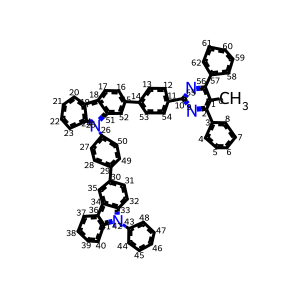 Cc1c(-c2ccccc2)nc(-c2ccc(-c3ccc4c5ccccc5n(-c5ccc(-c6ccc7c(c6)c6ccccc6n7-c6ccccc6)cc5)c4c3)cc2)nc1-c1ccccc1